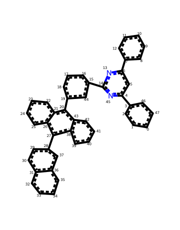 c1ccc(-c2cc(-c3ccccc3)nc(-c3cccc(-c4c5ccccc5c(-c5ccc6ccccc6c5)c5ccccc45)c3)n2)cc1